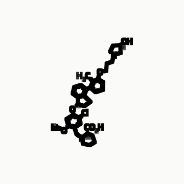 CCOc1cc(O[C@H]2CCc3c(-c4cccc(OCCCN5CC[C@@H](O)C5)c4C)cccc32)c(Cl)cc1CN1CCCC[C@H]1C(=O)O